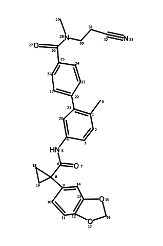 Cc1ccc(NC(=O)C2(c3ccc4c(c3)OCO4)CC2)cc1-c1ccc(C(=O)N(C)CCC#N)cc1